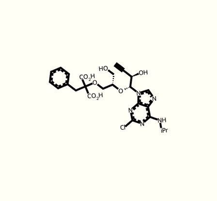 C#C[C@@H](O)[C@@H](O[C@@H](CO)COC(Cc1ccccc1)(C(=O)O)C(=O)O)n1cnc2c(NC(C)C)nc(Cl)nc21